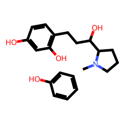 CN1CCCC1C(O)CCc1ccc(O)cc1O.Oc1ccccc1